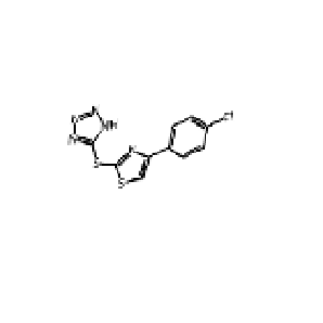 Clc1ccc(-c2csc(Sc3nnn[nH]3)n2)cc1